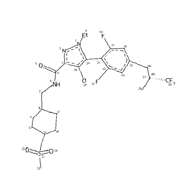 CCn1nc(C(=O)NCC2CCC(S(C)(=O)=O)CC2)c(Cl)c1-c1c(F)cc(C[C@@H](C)C(F)(F)F)cc1F